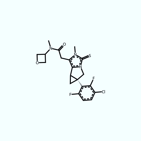 CN(C(=O)Cc1c2n(c(=S)n1C)C[C@@]1(c3c(F)ccc(Cl)c3F)CC21)C1COC1